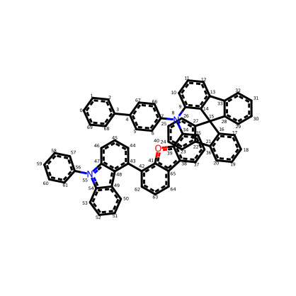 c1ccc(-c2ccc(N(c3cccc4c3C3(c5ccccc5-c5ccccc53)c3ccccc3-4)c3cccc4c3oc3c(-c5cccc6c5c5ccccc5n6-c5ccccc5)cccc34)cc2)cc1